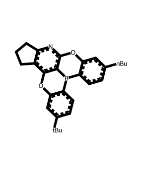 CCCCc1ccc2c(c1)Oc1nc3c(c4c1B2c1ccc(C(C)(C)C)cc1O4)CCC3